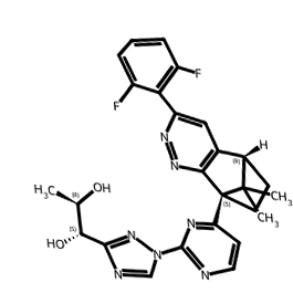 C[C@@H](O)[C@@H](O)c1ncn(-c2nccc([C@@]34CC[C@@H](c5cc(-c6c(F)cccc6F)nnc53)C4(C)C)n2)n1